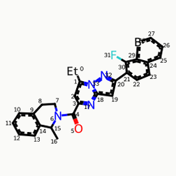 CCc1cc(C(=O)N2CCc3ccccc3C2C)nc2cc(-c3ccc4cccbc4c3F)nn12